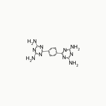 Nc1nc(N)nc(-c2ccc(-c3nc(N)nc(N)n3)cc2)n1